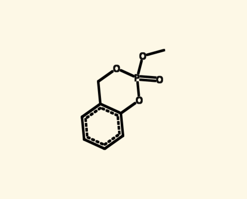 COP1(=O)OCc2ccccc2O1